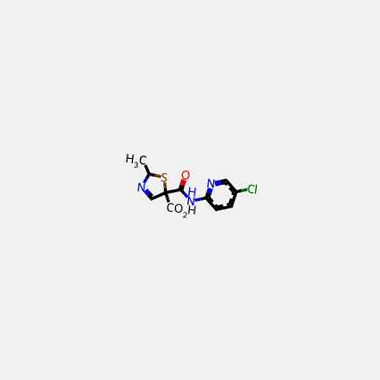 CC1N=CC(C(=O)O)(C(=O)Nc2ccc(Cl)cn2)S1